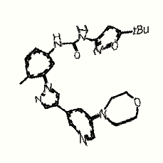 Cc1ccc(NC(=O)Nc2cc(C(C)(C)C)on2)cc1-n1cc(-c2cncc(N3CCOCC3)c2)cn1